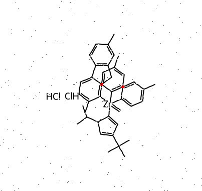 Cl.Cl.[CH2]=[Zr]([C]1=CC(C(C)(C)C)=CC1C(C)C)([c]1ccc(C)cc1)([c]1ccc(C)cc1)[c]1c(C)ccc2c1Cc1cc(C)ccc1-2